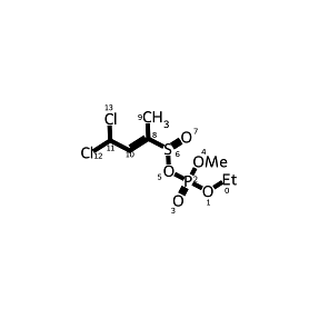 CCOP(=O)(OC)OS(=O)C(C)=CC(Cl)Cl